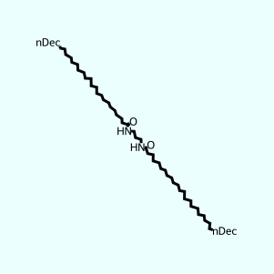 CCCCCCCCCCCCCCCCCCCCCCCCCCCCCCCC(=O)NCCCNC(=O)CCCCCCCCCCCCCCCCCCCCCCCCCCCCCCC